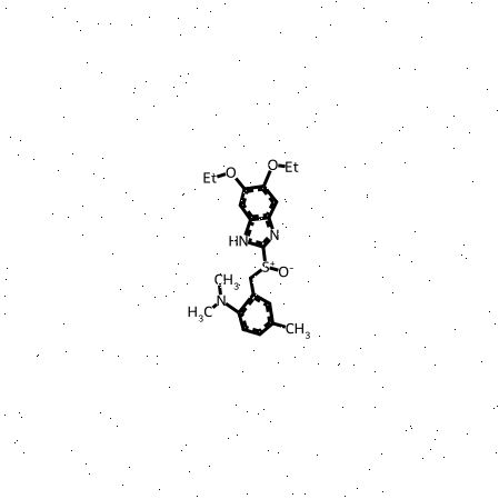 CCOc1cc2nc([S+]([O-])Cc3cc(C)ccc3N(C)C)[nH]c2cc1OCC